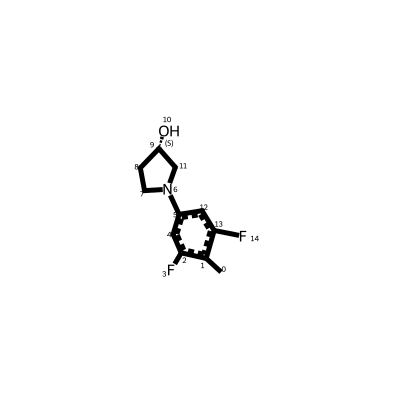 Cc1c(F)cc(N2CC[C@H](O)C2)cc1F